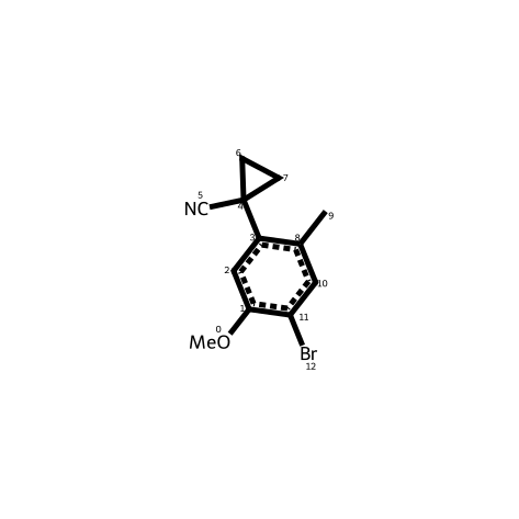 COc1cc(C2(C#N)CC2)c(C)cc1Br